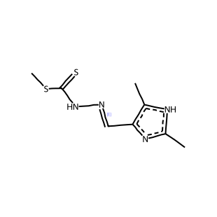 CSC(=S)N/N=C/c1nc(C)[nH]c1C